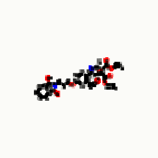 COC(=O)C1C(C(=O)OC)[C@]2(OC)O[C@H]1N=C2c1ccc(OCCCN2C(=O)c3ccccc3C2=O)cc1